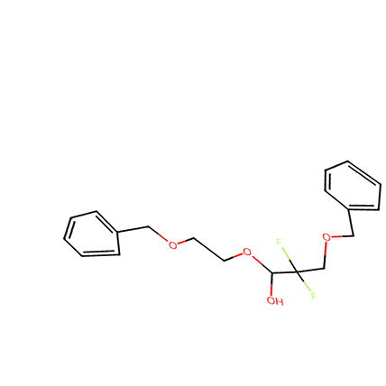 OC(OCCOCc1ccccc1)C(F)(F)COCc1ccccc1